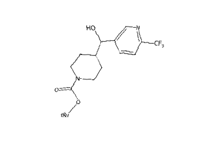 CC(C)(C)OC(=O)N1CCC(C(O)c2ccc(C(F)(F)F)nc2)CC1